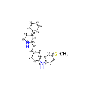 CSc1ccc2[nH]c3c(c2c1)CC(CCC1CC(c2ccccc2)=CCN1)CC3